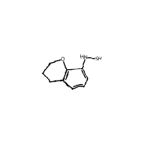 SNc1cccc2c1OCCC2